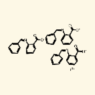 O=C([O-])c1ccccc1/N=C\c1ccccc1.O=C([O-])c1ccccc1/N=C\c1ccccc1.O=C([O-])c1ccccc1/N=C\c1ccccc1.[Ir+3]